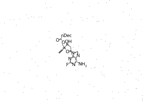 C#C[C@]1(COC(=O)CCCCCCCCCC)O[C@@H](n2cnc3c(N)nc(F)nc32)C[C@@H]1O